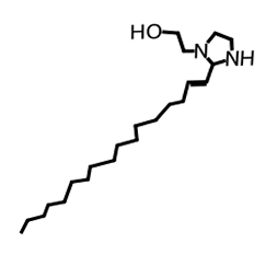 CCCCCCCCCCCCCCCC=CC1NCCN1CCO